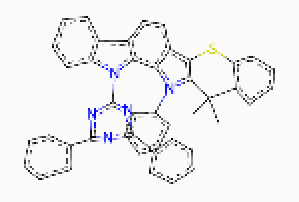 CC1(C)c2ccccc2Sc2c1n(-c1ccccc1)c1c2ccc2c3ccccc3n(-c3nc(-c4ccccc4)nc(-c4ccccc4)n3)c21